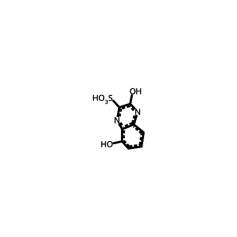 O=S(=O)(O)c1nc2c(O)cccc2nc1O